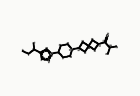 CCC(C)c1cnn(C2CCN(C3CC4(CC(C(=O)C(C)C)C4)C3)CC2)c1